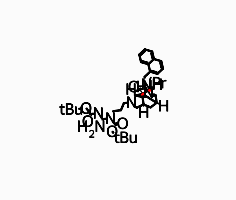 CC(C)C[C@@H]1[C@@H]2C=N[C@@]3(C(=O)NCc4cccc5ccccc45)[C@@H](C2)CN(CCCN(C(=O)OC(C)(C)C)C(N)=NC(=O)OC(C)(C)C)[C@@H]13